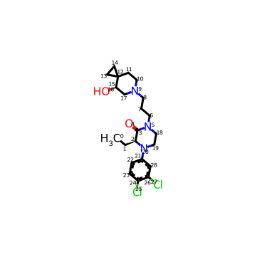 CC[C@H]1C(=O)N(CCCN2CCC3(CC3)[C@H](O)C2)CCN1c1ccc(Cl)c(Cl)c1